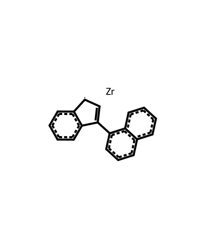 [CH]1C=C(c2cccc3ccccc23)c2ccccc21.[Zr]